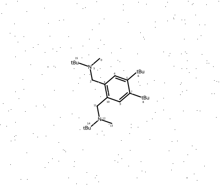 CN(Cc1cc(C(C)(C)C)c(C(C)(C)C)cc1CN(C)C(C)(C)C)C(C)(C)C